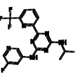 CC(C)Nc1nc(Nc2cncc(F)c2)nc(-c2cccc(C(F)(F)F)n2)n1